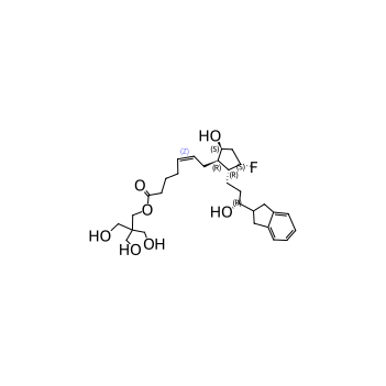 O=C(CCC/C=C\C[C@@H]1[C@@H](CC[C@@H](O)C2Cc3ccccc3C2)[C@@H](F)C[C@@H]1O)OCC(CO)(CO)CO